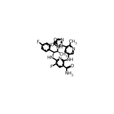 Cc1ncc(Nc2nc(N[C@@H](c3ccc(F)cc3)[C@H](C)NC(=O)O)c(F)cc2C(N)=O)cc1-n1nccn1